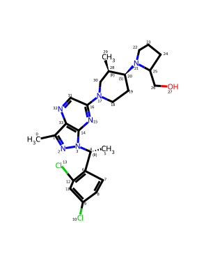 Cc1nn([C@H](C)c2ccc(Cl)cc2Cl)c2nc(N3CC[C@H](N4CCCC4CO)[C@H](C)C3)cnc12